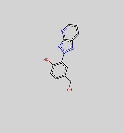 OCc1ccc(O)c(-n2nc3cccnc3n2)c1